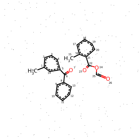 Cc1cccc(C(=O)c2ccccc2)c1.Cc1ccccc1C(=O)OC=O